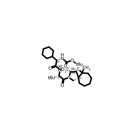 CC(C)(C)OC(=O)N[C@H](C(=O)N[C@H](C(=O)N1C[C@]2(CCCCCC2(C)C)C[C@H]1C(=O)O)C(C)(C)C)C1CCCCC1